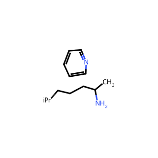 CC(C)CCCC(C)N.c1ccncc1